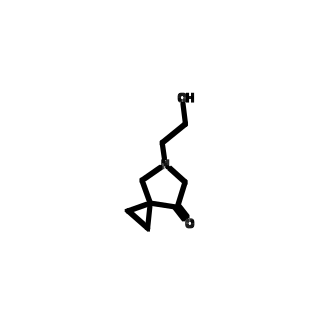 O=C1CN(CCO)CC12CC2